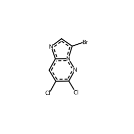 Clc1cc2ncc(Br)n2nc1Cl